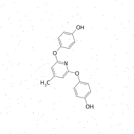 Cc1cc(Oc2ccc(O)cc2)nc(Oc2ccc(O)cc2)c1